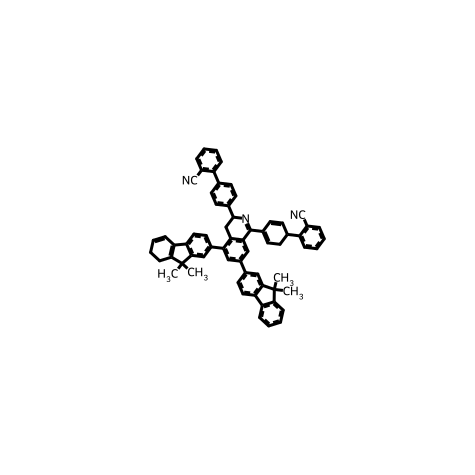 CC1(C)C2=C(C=CCC2)c2ccc(-c3cc(-c4ccc5c(c4)C(C)(C)c4ccccc4-5)cc4c3CC(c3ccc(-c5ccccc5C#N)cc3)N=C4C3=CCC(c4ccccc4C#N)C=C3)cc21